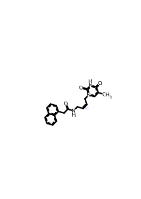 Cc1cn(C/C=C\CNC(=O)Cc2cccc3ccccc23)c(=O)[nH]c1=O